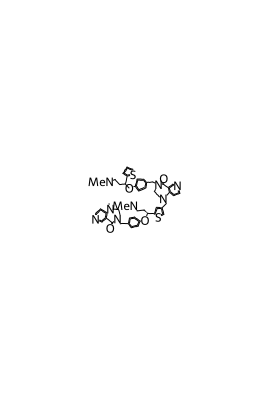 CNCCC(Oc1ccc(CN2CCN(Cc3csc([C@H](CCNC)Oc4ccc(CN5CCN(C)c6ccncc6C5=O)cc4)c3)c3ccncc3C2=O)cc1)c1cccs1